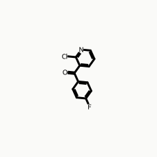 O=C(c1ccc(F)cc1)c1cccnc1Cl